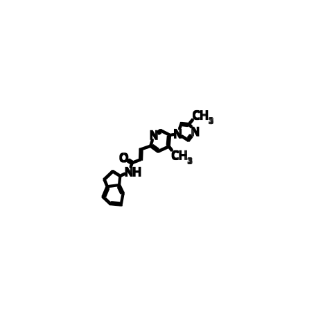 Cc1cn(-c2cnc(/C=C/C(=O)NC3CCc4ccccc43)cc2C)cn1